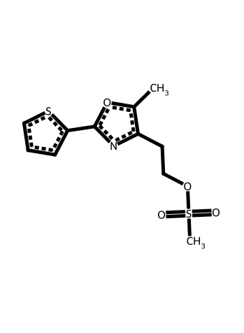 Cc1oc(-c2cccs2)nc1CCOS(C)(=O)=O